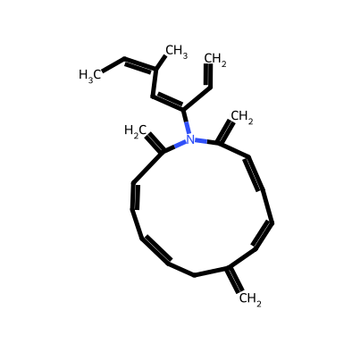 C=C/C(=C\C(C)=C/C)N1C(=C)/C=C\C=C/CC(=C)/C=C\C=C/C1=C